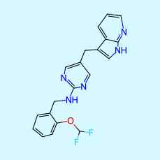 FC(F)Oc1ccccc1CNc1ncc(Cc2c[nH]c3ncccc23)cn1